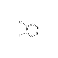 CC(=O)c1cnccc1I